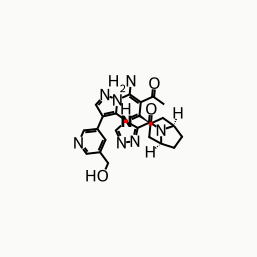 CC(=O)c1c([C@H]2C[C@H]3CC[C@@H](C2)N3C(=O)c2nnc[nH]2)nc2c(-c3cncc(CO)c3)cnn2c1N